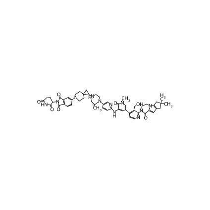 C[C@H]1CN([C@@H]2CC23CCN(c2ccc4c(c2)C(=O)N(C2CCC(=O)NC2=O)C4=O)CC3)CCN1c1ccc(Nc2cc(-c3ccnc(N4CCn5c(cc6c5CC(C)(C)C6)C4=O)c3CO)cn(C)c2=O)nc1